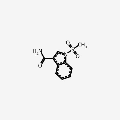 CS(=O)(=O)n1cc(C(N)=O)c2ccccc21